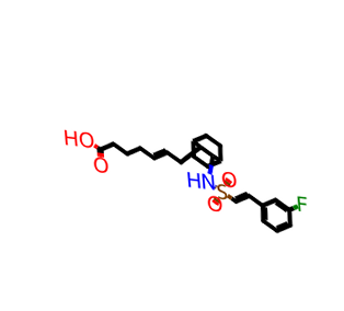 O=C(O)CCCC=CCC1C2CCC(CC2)C1NS(=O)(=O)C=Cc1cccc(F)c1